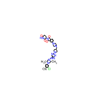 C[C@@H]1CN(c2ccc(C#N)c(Cl)c2)[C@@H](C)CN1CNc1cnc(N2CCC(CN3CCN(c4ccc5c(c4)C(=O)N(C4CCC(=O)NC4=O)C5=O)CC3)CC2)nc1